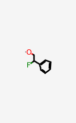 [O]CC(F)c1ccccc1